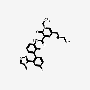 CC(C)CNCc1cc(C(=O)Nc2cccc(-c3ccc(F)cc3-c3nncn3C)c2F)c(=O)n(CC(F)(F)F)c1